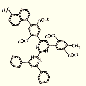 CCCCCCCCc1cc(-c2cc(-c3cc(CCCCCCCC)c(-c4cccc5c(C)cccc45)cc3CCCCCCCC)nc(-c3nc(-c4ccccc4)cc(-c4ccccc4)n3)n2)c(CCCCCCCC)cc1C